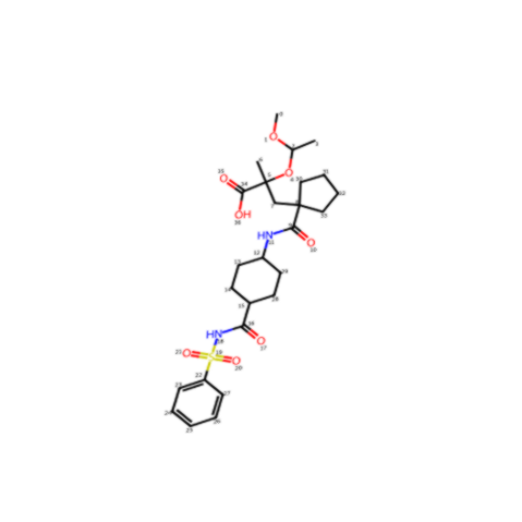 COC(C)OC(C)(CC1(C(=O)NC2CCC(C(=O)NS(=O)(=O)c3ccccc3)CC2)CCCC1)C(=O)O